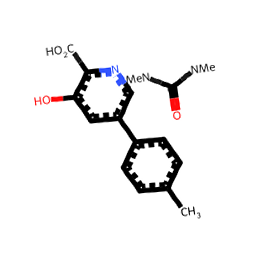 CNC(=O)NC.Cc1ccc(-c2cnc(C(=O)O)c(O)c2)cc1